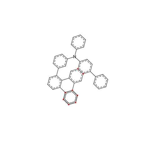 c1ccc(-c2ccc(N(c3ccccc3)c3cccc(-c4cccc(-c5ccccc5)c4-c4ccccc4-c4ccccc4)c3)cc2)cc1